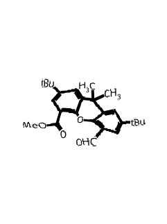 COC(=O)c1cc(C(C)(C)C)cc2c1Oc1c(C=O)cc(C(C)(C)C)cc1C2(C)C